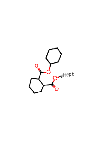 CCCCCCCOC(=O)C1CCCCC1C(=O)OC1CCCCC1